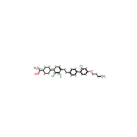 C=CCCOc1ccc(-c2ccc(CCC3=CCC(C4CCC(C(C)O)CC4)C(F)=C3F)cc2)c(F)c1